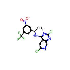 C[C@@H](Nc1nc(Cl)nc2cnc(Cl)cc12)c1cc([N+](=O)[O-])cc(C(F)(F)F)c1